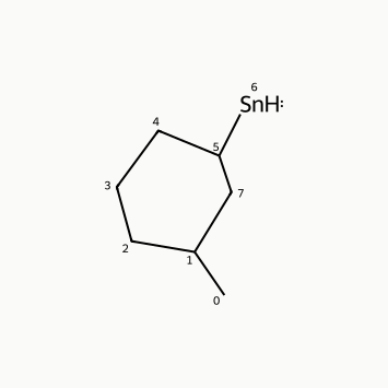 CC1CCC[CH]([SnH])C1